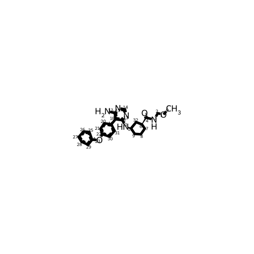 COCNC(=O)[C@H]1CCC[C@@H](Nc2ncnc(N)c2-c2ccc(Oc3ccccc3)cc2)C1